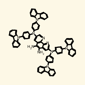 Nc1c(N)c2cc(N(c3ccc(-n4c5ccccc5c5ccccc54)cc3)c3ccc(-n4c5ccccc5c5ccccc54)cc3)cnc2c2ncc(N(c3ccc(-n4c5ccccc5c5ccccc54)cc3)c3ccc(-n4c5ccccc5c5ccccc54)cc3)cc12